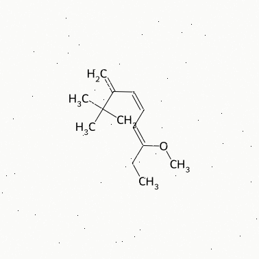 C=C(/C=C\C=C(\CC)OC)C(C)(C)C